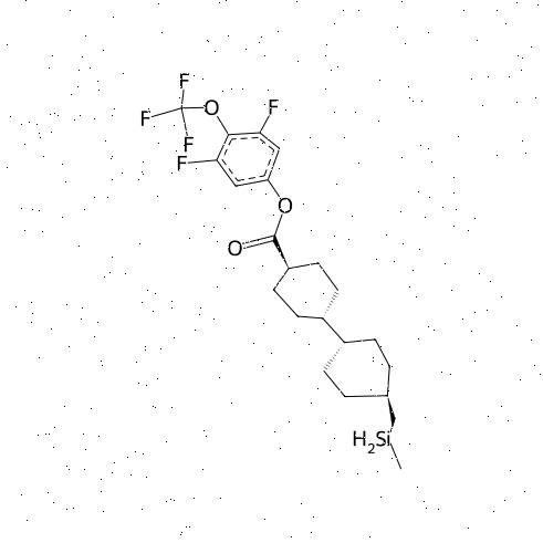 C[SiH2]C[C@H]1CC[C@H]([C@H]2CC[C@H](C(=O)Oc3cc(F)c(OC(F)(F)F)c(F)c3)CC2)CC1